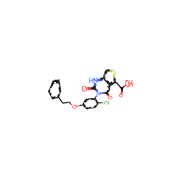 O=C(O)c1scc2[nH]c(=O)n(-c3cc(OCCc4ccccc4)ccc3Cl)c(=O)c12